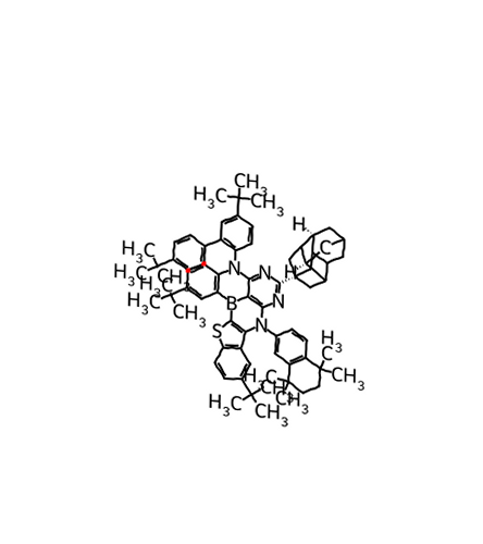 CC(C)(C)c1ccc(-c2cc(C(C)(C)C)ccc2N2c3ccc(C(C)(C)C)cc3B3c4sc5ccc(C(C)(C)C)cc5c4N(c4ccc5c(c4)C(C)(C)CCC5(C)C)c4nc([C@]56CC7C8CC9C[C@@H]7C(C5)[C@@H](C9)C8C6)nc2c43)cc1